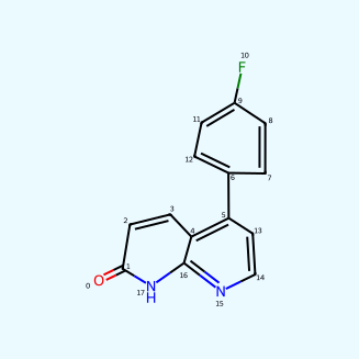 O=c1ccc2c(-c3ccc(F)cc3)ccnc2[nH]1